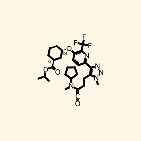 CC(C)OC(=O)[C@H]1CCC[C@H](Oc2ccc(-c3nnn(C)c3CCC(=C=O)N(C)C3CCCC3)nc2C(F)(F)F)C1